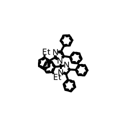 CCc1ccccc1-c1nc(-c2ccccc2)c(-c2ccccc2)n1C1(c2ccccc2CC)N=C(c2ccccc2)C(c2ccccc2)=N1